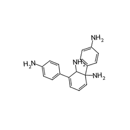 Nc1ccc(C2=CC=CC(N)(c3ccc(N)cc3)C2N)cc1